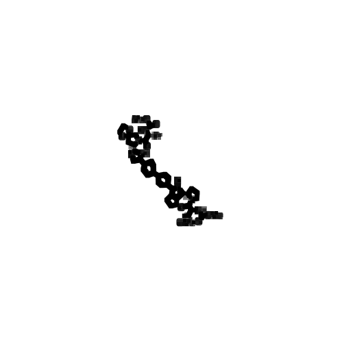 COC(=O)NC(C(=O)N1CCC[C@@H]1c1[nH]c(-c2ccc(-c3ccc(-c4cnc([C@@H]5CC6(CN5C(=O)[C@H](NC(=O)OC)C(C)C)OCCO6)[nH]4)cc3)cc2)c2c1CCC2)[C@@H](C)OC